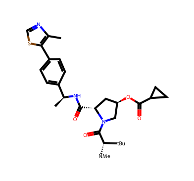 CN[C@H](C(=O)N1C[C@H](OC(=O)C2CC2)C[C@H]1C(=O)N[C@@H](C)c1ccc(-c2scnc2C)cc1)C(C)(C)C